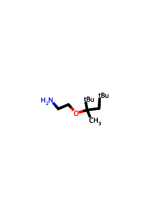 CC(C)(C)CC(C)(OCCN)C(C)(C)C